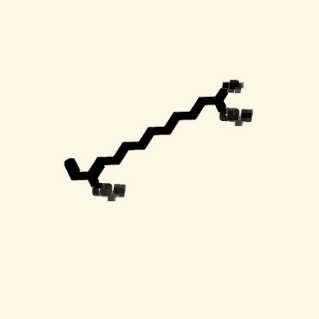 C=C/C(=C/CCCCCCCCC(CCC)C(=O)O)C(=O)O